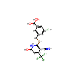 N#Cc1c(C(F)(F)F)cc(=O)[nH]c1SCc1cc(F)cc(C(=O)O)c1